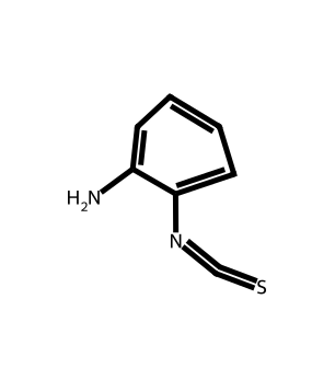 Nc1ccccc1N=C=S